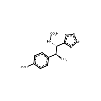 COc1ccc([C@H](C)[C@H](NC(=O)O)c2nn[nH]n2)cc1